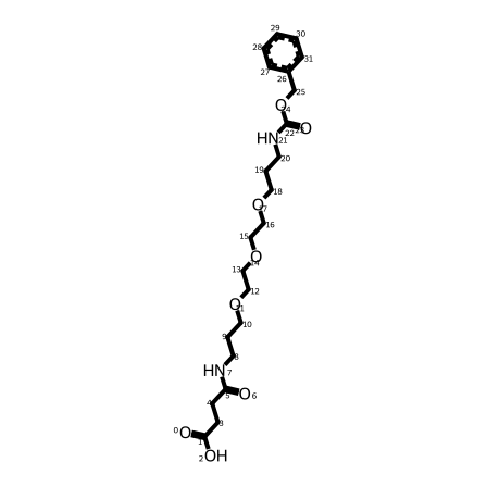 O=C(O)CCC(=O)NCCCOCCOCCOCCCNC(=O)OCc1ccccc1